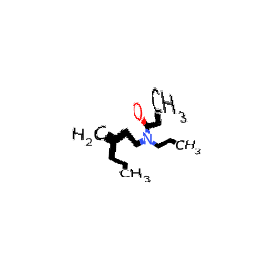 C=C(CCC)CCN(CCC)C(=O)CC